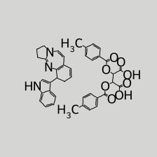 C1=CC2=C(N=C3CCCN3C=C2)C(c2c[nH]c3ccccc23)C1.Cc1ccc(C(=O)OC(C(=O)O)C(OC(=O)c2ccc(C)cc2)C(=O)O)cc1